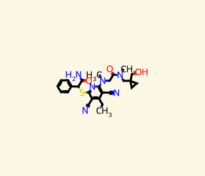 CCc1c(C#N)c(SC(C(N)=O)c2ccccc2)nc(N(C)CC(=O)N(C)CC2(CO)CC2)c1C#N